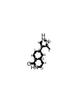 Cc1n[nH]cc1-c1ccc2c(=O)[nH]ccc2c1